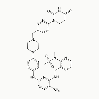 CN(c1ncccc1CNc1nc(Nc2ccc(N3CCN(Cc4ccc(N5CCC(=O)NC5=O)nn4)CC3)cc2)ncc1C(F)(F)F)S(C)(=O)=O